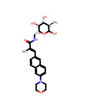 C[C@H]1C(O)O[C@H](CNC(=O)/C(C#N)=C/c2ccc3cc(N4CCOCC4)ccc3c2)[C@@H](O)[C@@H]1O